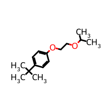 CC(C)OCCOc1ccc(C(C)(C)C)cc1